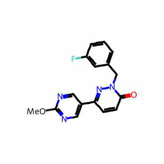 COc1ncc(-c2ccc(=O)n(Cc3cccc(F)c3)n2)cn1